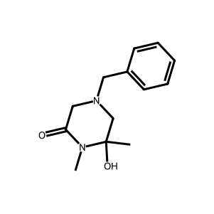 CN1C(=O)CN(Cc2ccccc2)CC1(C)O